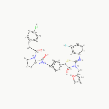 O=C(Nc1ccc(C2S/C(=N\c3cccc(F)c3)N(Cc3ccco3)C2=O)cc1)[C@@H]1CCCN1C(=O)Cc1ccc(Cl)cc1